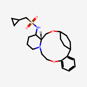 O=S(=O)(CC1CC1)NC1CCCN2CCOc3ccccc3C3CCC(CC3)OC[C@@H]12